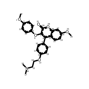 COc1ccc(Oc2c(-c3ccc(OCCN(C)C)cc3)c3ccc(OC)cc3oc2=O)cc1